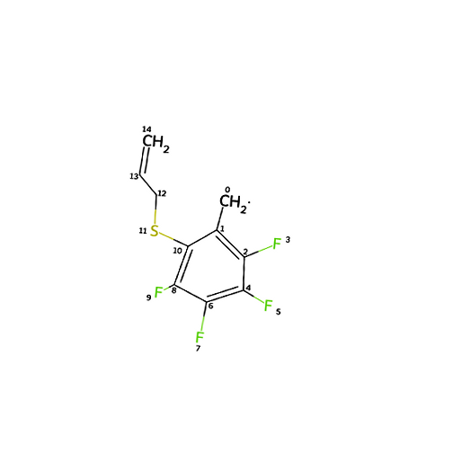 [CH2]c1c(F)c(F)c(F)c(F)c1SCC=C